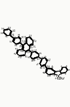 CC(C)(C)n1c2ccccc2c2cc(-c3ccc(-c4ccc(-c5c6ccccc6c(-c6ccc(-c7ccccc7)cc6)c6ccccc56)cc4)cc3)ccc21